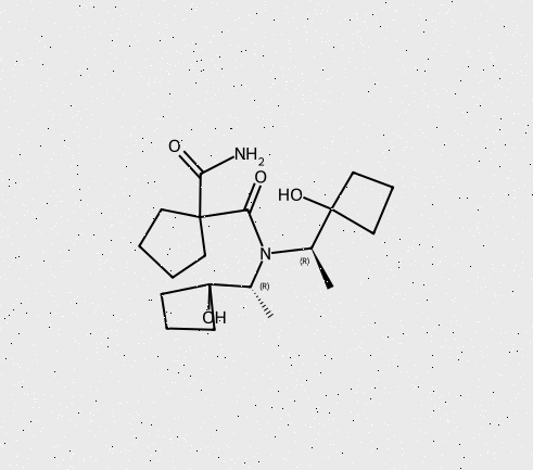 C[C@@H](N(C(=O)C1(C(N)=O)CCCC1)[C@H](C)C1(O)CCC1)C1(O)CCC1